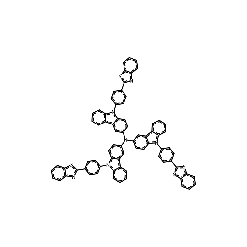 c1ccc2sc(-c3ccc(-n4c5ccccc5c5cc(N(c6ccc7c(c6)c6ccccc6n7-c6ccc(-c7nc8ccccc8s7)cc6)c6ccc7c(c6)c6ccccc6n7-c6ccc(-c7nc8ccccc8s7)cc6)ccc54)cc3)nc2c1